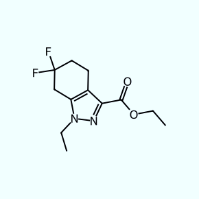 CCOC(=O)c1nn(CC)c2c1CCC(F)(F)C2